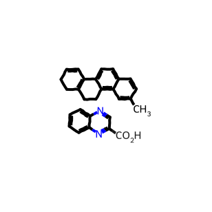 Cc1ccc2ccc3c(c2c1)CCC1=C3C=CCC1.O=C(O)c1cnc2ccccc2n1